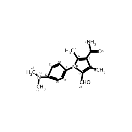 Cc1c(C(N)=O)c(C)n(-c2ccc(N(C)C)cc2)c1C=O